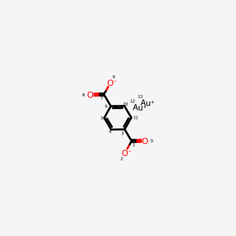 O=C([O-])c1ccc(C(=O)[O-])cc1.[Au+].[Au+]